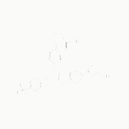 CCCC(=O)c1ccc(OC(COc2ccc(C(F)(F)F)cc2)CSc2ccc(OC(C)C(=O)O)cc2)cc1